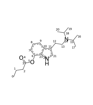 CCCC(=O)Oc1cccc2c(CCN(C(C)C)C(C)C)c[nH]c12